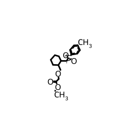 CCOC(=O)COCC1CCCCC1[CH]S(=O)(=O)c1ccc(C)cc1